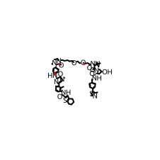 Cc1ncsc1-c1ccc(CNC(=O)[C@@H]2C[C@@H](O)CN2C(=O)[C@@H](NC(=O)CCOCCOCCCCCN2CCN(C)[C@H](c3ccc(Nc4nc(-c5cccc(NC(=O)c6cc7c(s6)CCCC7)c5C)cn(C)c4=O)cc3)C2=O)C(C)(C)C)cc1